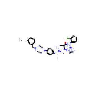 N#Cc1cccc(CN2CCN(c3ccc(Nc4ncc5c(=O)n(-c6ccccc6Cl)c6nccn6c5n4)cc3)CC2)c1